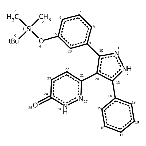 CC(C)(C)[Si](C)(C)Oc1cccc(-c2n[nH]c(-c3ccccc3)c2-c2ccc(=O)[nH]n2)c1